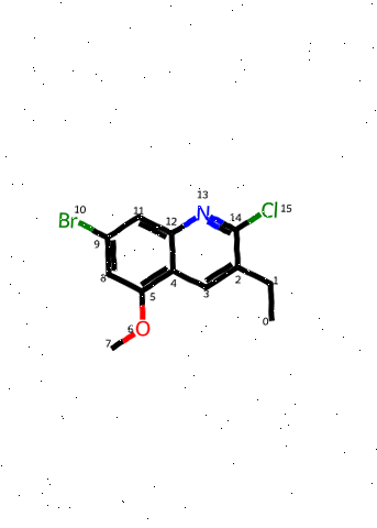 CCc1cc2c(OC)cc(Br)cc2nc1Cl